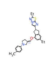 CCc1cc2c(c(O/C=C3\CCN(c4ccc(C)cc4)C3)c1)CC(c1cn3nc(CC)sc3n1)C2